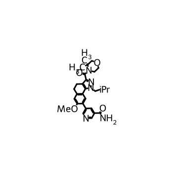 COc1cc2c(cc1-c1cncc(C(N)=O)c1)-c1c(c(C(=O)N3CCOCC3(C)C)nn1CC(C)C)CC2